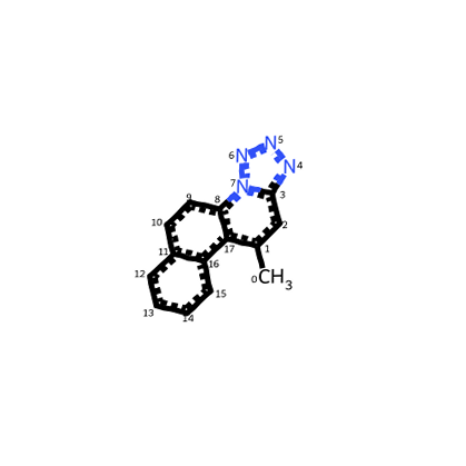 Cc1cc2nnnn2c2ccc3ccccc3c12